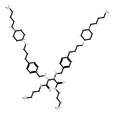 CCCCC[C@H]1CC[C@H](CCCCc2ccc(CO[C@@H](C(=O)OCCCC)[C@@H](OCc3ccc(CCCC[C@H]4CC[C@H](CCCCC)CC4)cc3)C(=O)OCCCC)cc2)CC1